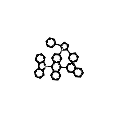 c1ccc(-c2ccc(-c3ccccc3)n2-c2ccc3c(-n4c5ccccc5c5ccccc54)c4ccccc4c(-c4ccc5ccccc5c4)c3c2)cc1